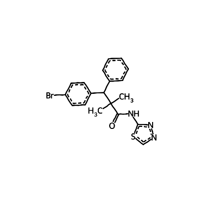 CC(C)(C(=O)Nc1nncs1)C(c1ccccc1)c1ccc(Br)cc1